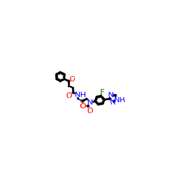 O=C(CCC(=O)c1ccccc1)NC[C@H]1CN(c2ccc(-c3nc[nH]n3)c(F)c2)C(=O)O1